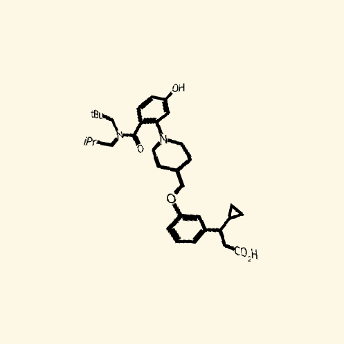 CC(C)CN(CC(C)(C)C)C(=O)c1ccc(O)cc1N1CCC(COc2cccc(C(CC(=O)O)C3CC3)c2)CC1